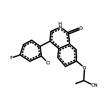 CC(C#N)Oc1ccc2c(-c3ccc(F)cc3Cl)c[nH]c(=O)c2c1